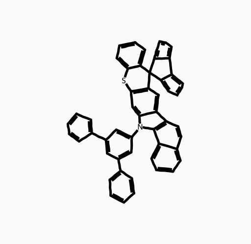 c1ccc(-c2cc(-c3ccccc3)cc(-n3c4cc5c(cc4c4ccc6ccccc6c43)C3(c4ccccc4S5)c4ccccc4-c4ccccc43)c2)cc1